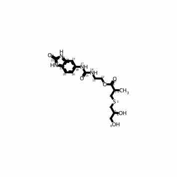 CC(CSCC(O)CO)C(=O)OCCNC(=O)Nc1ccc2[nH]c(=O)[nH]c2c1